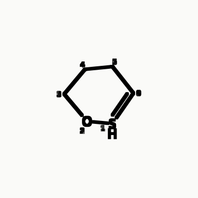 C1=[SH]OCCC1